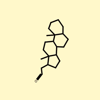 CC12CCC3C(CCC4CCCCC43C)C1CCC2CC=O